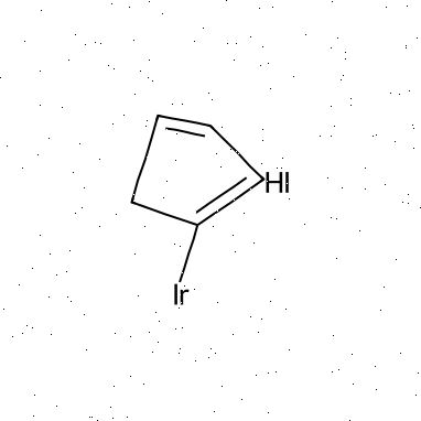 I.[Ir][C]1=CC=CC1